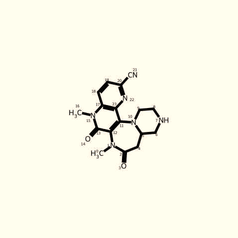 CN1C(=O)CC2CNCCN2c2c1c(=O)n(C)c1ccc(C#N)nc21